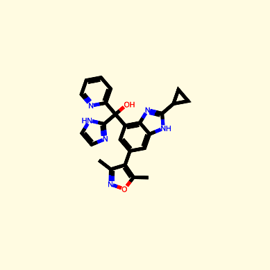 Cc1noc(C)c1-c1cc(C(O)(c2ccccn2)c2ncc[nH]2)c2nc(C3CC3)[nH]c2c1